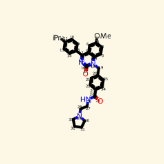 COc1ccc2c(c1)c(-c1ccc(C(C)C)cc1)nc(=O)n2Cc1ccc(C(=O)NCCN2CCCC2)cc1